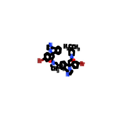 CC1(C)CCN(C(=O)CC2(c3ccc(Br)cc3)c3ccccc3-c3nccn32)CC1.CCN(CC)C(=O)CC1(c2ccc(Br)cc2)c2ccccc2-c2nccn21